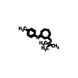 Cc1ccc(N=C2CCCCC(S[Si](C)(C)C)C2)cc1